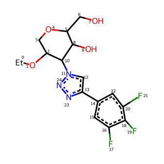 CCOC1COC(CO)C(O)C1n1cc(-c2cc(F)c(F)c(F)c2)nn1